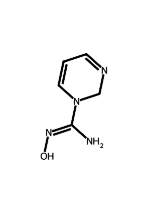 N/C(=N\O)N1C=CC=NC1